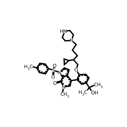 Cc1ccc(S(=O)(=O)n2ccc3c(-c4cc(C(C)(C)O)ccc4OCC(CCCN4CCNCC4)C4CC4)cn(C)c(=O)c32)cc1